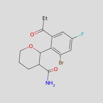 CCC(=O)c1cc(F)cc(Br)c1C1OCCCC1C(N)=O